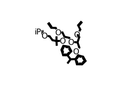 C=CCOCC(COc1ccccc1C(C)c1ccccc1)OCC(COCC=C)OC(C)(C)CCOC(C)C